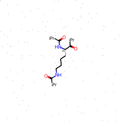 CC(C)C(=O)NCCCC[C@H](NC(=O)C(C)C)C(=O)C(C)C